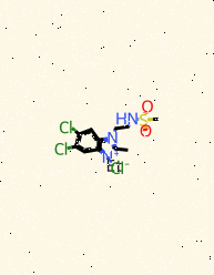 CC[n+]1c(C)n(CCNS(C)(=O)=O)c2cc(Cl)c(Cl)cc21.[Cl-]